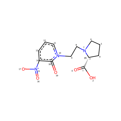 O=C(O)[C@H]1CCCN1CCn1cccc([N+](=O)[O-])c1=O